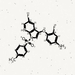 Cc1ccc(S(=O)(=O)n2cc(Oc3ccc(N)cc3F)c3cc(F)cnc32)cc1